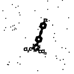 CCc1ccc(C#Cc2ccc(-c3nc(C(Cl)(Cl)Cl)nc(C(Cl)(Cl)Cl)n3)cc2)cc1